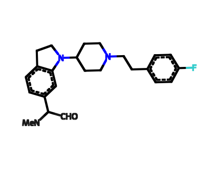 CNC(C=O)c1ccc2c(c1)N(C1CCN(CCc3ccc(F)cc3)CC1)CC2